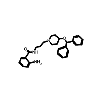 Nc1ccccc1C(=O)NCCCN1CCC(OC(c2ccccc2)c2ccccc2)CC1